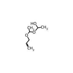 C=CCOC(C)OC(C)O